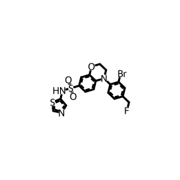 O=S(=O)(Nc1cncs1)c1ccc2c(c1)OCCN2c1ccc(CF)cc1Br